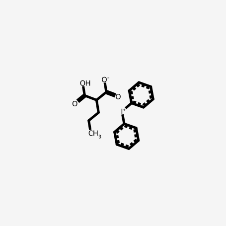 CCCC(C(=O)[O-])C(=O)O.c1ccc([I+]c2ccccc2)cc1